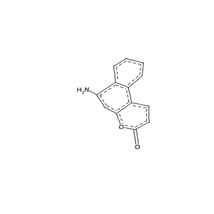 Nc1cc2oc(=O)ccc2c2ccccc12